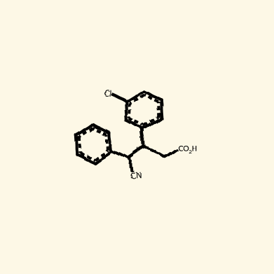 N#CC(c1ccccc1)C(CC(=O)O)c1cccc(Cl)c1